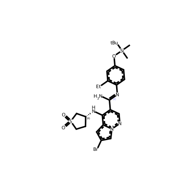 CCc1cc(O[Si](C)(C)C(C)(C)C)ccc1/N=C(\N)c1cnn2cc(Br)cc2c1N[C@@H]1CCS(=O)(=O)C1